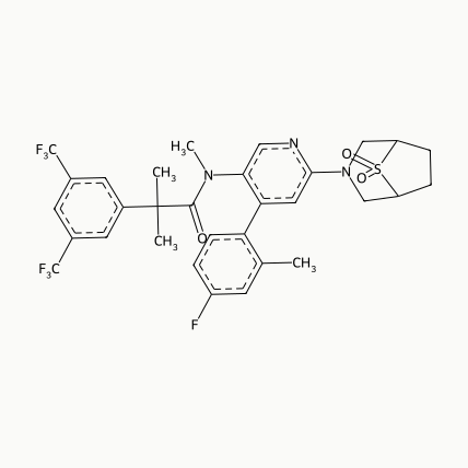 Cc1cc(F)ccc1-c1cc(N2CC3CCC(C2)S3(=O)=O)ncc1N(C)C(=O)C(C)(C)c1cc(C(F)(F)F)cc(C(F)(F)F)c1